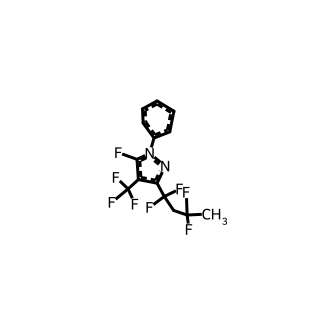 CC(F)(F)CC(F)(F)c1nn(-c2ccccc2)c(F)c1C(F)(F)F